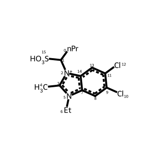 CCCC([n+]1c(C)n(CC)c2cc(Cl)c(Cl)cc21)S(=O)(=O)O